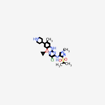 Cc1cc(Nc2ncc(Cl)c(Nc3cn(C)nc3S(=O)(=O)C(C)C)n2)c(OC2CC2)cc1C1CCNCC1